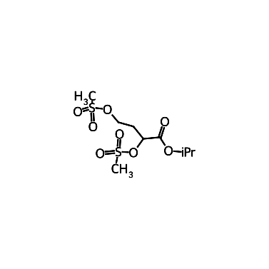 CC(C)OC(=O)C(CCOS(C)(=O)=O)OS(C)(=O)=O